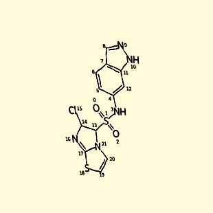 O=S(=O)(Nc1ccc2cn[nH]c2c1)C1C(Cl)N=C2SC=CN21